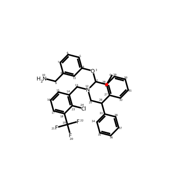 CCC(Oc1cccc(CN)c1)N(Cc1cccc(C(F)(F)F)c1Cl)CC(c1ccccc1)c1ccccc1